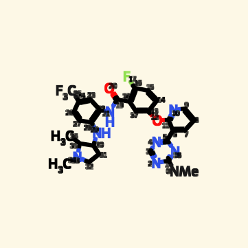 CNc1ncnc(-c2cccnc2Oc2ccc(F)c(C(=O)Nc3cc(C(F)(F)F)ccc3NC3CCN(C)C3C)c2)n1